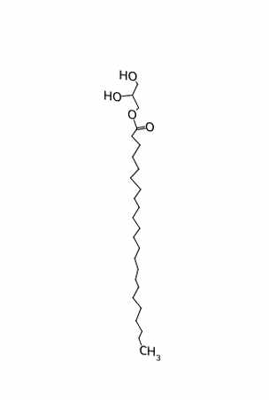 CCCCCCCCCCCCCCCCCCCCCCC(=O)OCC(O)CO